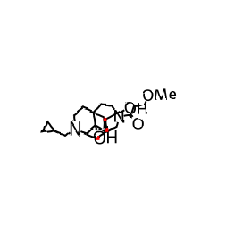 COCCC(=O)N1CCC23CCN(CC4CC4)C(Cc4ccc(O)cc42)C3(O)CC1